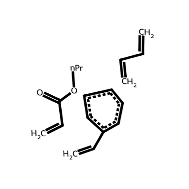 C=CC(=O)OCCC.C=CC=C.C=Cc1ccccc1